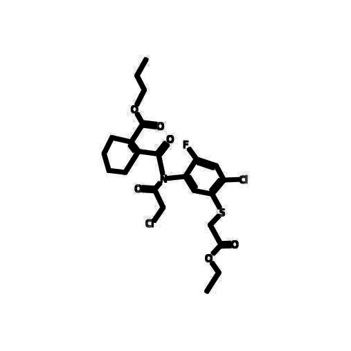 CCCOC(=O)C1=C(C(=O)N(C(=O)CCl)c2cc(SCC(=O)OCC)c(Cl)cc2F)CCCC1